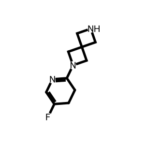 FC1=CN=C(N2CC3(CNC3)C2)CC1